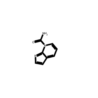 NC(=O)n1cccc2ccnc1-2